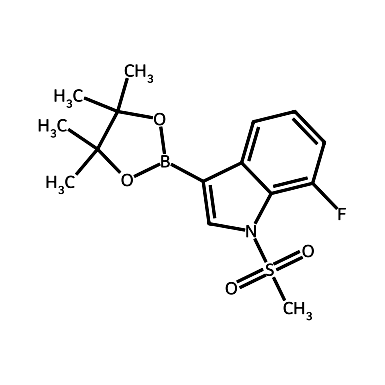 CC1(C)OB(c2cn(S(C)(=O)=O)c3c(F)cccc23)OC1(C)C